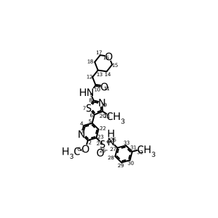 COc1ncc(-c2sc(NC(=O)CC3CCOCC3)nc2C)cc1[S+]([O-])Nc1cccc(C)c1